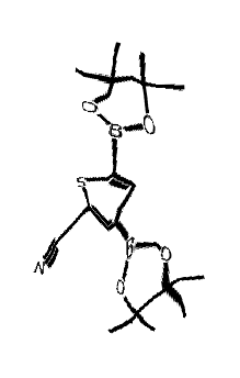 CC1(C)OB(c2cc(B3OC(C)(C)C(C)(C)O3)c(C#N)s2)OC1(C)C